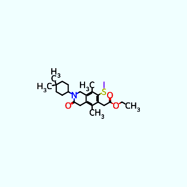 CCOC(=O)Cc1c(C)c2c(c(C)c1SI)CN(C1CCC(C)(C)CC1)C(=O)C2